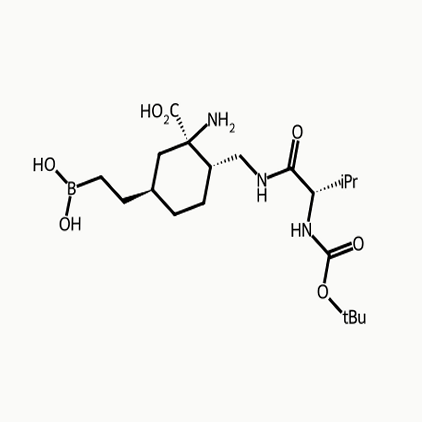 CC(C)[C@H](NC(=O)OC(C)(C)C)C(=O)NC[C@@H]1CC[C@@H](CCB(O)O)C[C@]1(N)C(=O)O